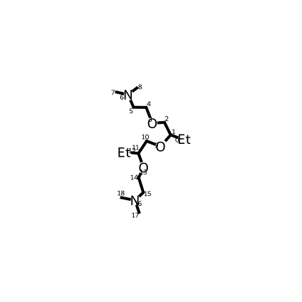 CCC(COCCN(C)C)OCC(CC)OCCN(C)C